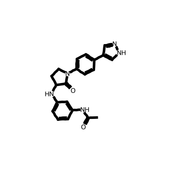 CC(=O)Nc1cccc(NC2CCN(c3ccc(-c4cn[nH]c4)cc3)C2=O)c1